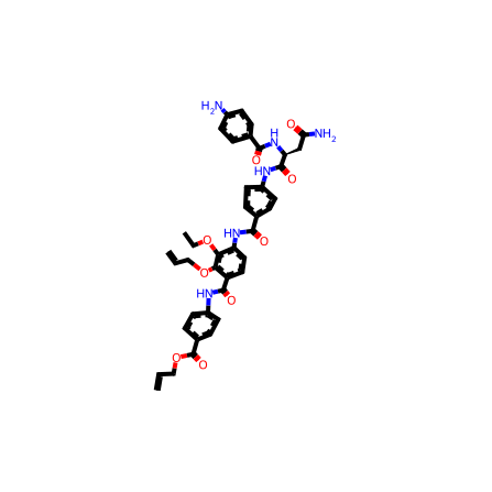 C=CCOC(=O)c1ccc(NC(=O)c2ccc(NC(=O)c3ccc(NC(=O)[C@H](CC(N)=O)NC(=O)c4ccc(N)cc4)cc3)c(OCC)c2OCC=C)cc1